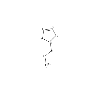 CCCC[CH]C1=CC=CC1